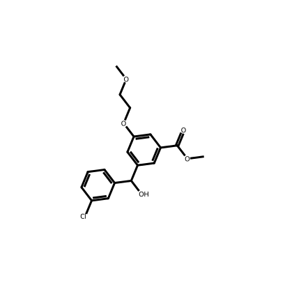 COCCOc1cc(C(=O)OC)cc(C(O)c2cccc(Cl)c2)c1